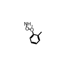 Cc1ccccc1OON